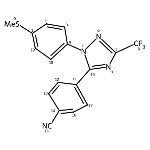 CSc1ccc(-n2nc(C(F)(F)F)nc2-c2ccc(C#N)cc2)cc1